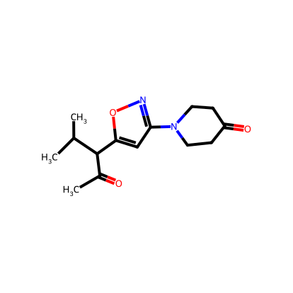 CC(=O)C(c1cc(N2CCC(=O)CC2)no1)C(C)C